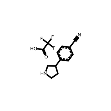 N#Cc1ccc(C2CCNC2)cc1.O=C(O)C(F)(F)F